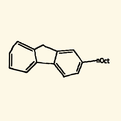 CCCCCCCCc1ccc2c(c1)Cc1ccccc1-2